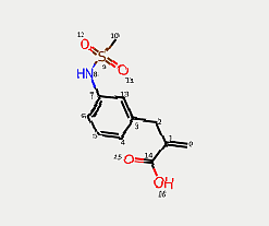 C=C(Cc1cccc(NS(C)(=O)=O)c1)C(=O)O